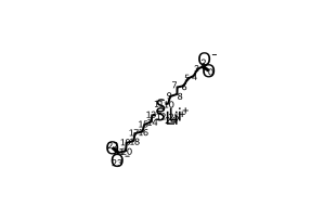 O=C([O-])CCCCCCCCSSCCCCCCCCC(=O)[O-].[Li+].[Li+]